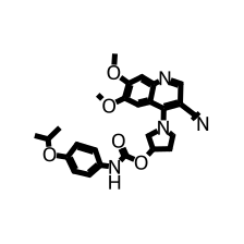 COc1cc2ncc(C#N)c(N3CCC(OC(=O)Nc4ccc(OC(C)C)cc4)C3)c2cc1OC